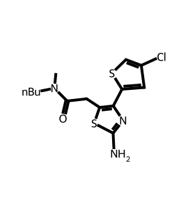 CCCCN(C)C(=O)Cc1sc(N)nc1-c1cc(Cl)cs1